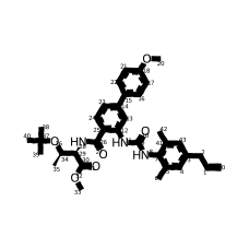 C=CCc1cc(C)c(NC(=O)Nc2cc(-c3ccc(OC)cc3)ccc2C(=O)N[C@H](C(=O)OC)[C@@H](C)OC(C)(C)C)c(C)c1